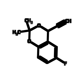 C#CC1OC(C)(C)Oc2ccc(F)cc21